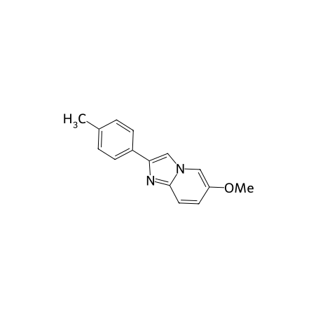 COc1ccc2nc(-c3ccc(C)cc3)cn2c1